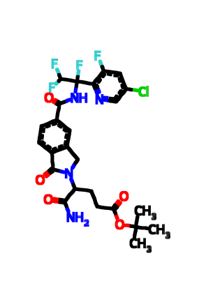 CC(C)(C)OC(=O)CCC(C(N)=O)N1Cc2cc(C(=O)NC(F)(c3ncc(Cl)cc3F)C(F)F)ccc2C1=O